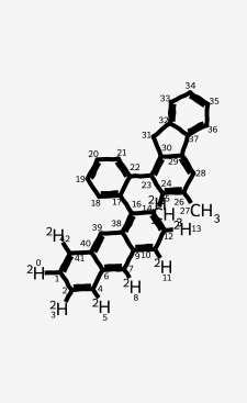 [2H]c1c([2H])c([2H])c2c([2H])c3c([2H])c([2H])c([2H])c(-c4ccccc4-c4c(C)c(C)cc5c4Cc4ccccc4-5)c3cc2c1[2H]